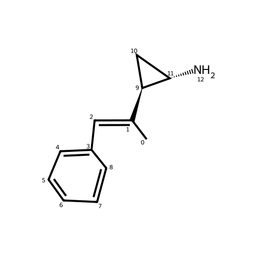 C/C(=C\c1ccccc1)[C@H]1C[C@@H]1N